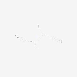 N#C/C(I)=C(\I)C#N